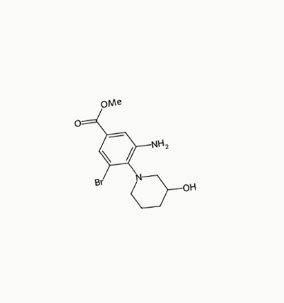 COC(=O)c1cc(N)c(N2CCCC(O)C2)c(Br)c1